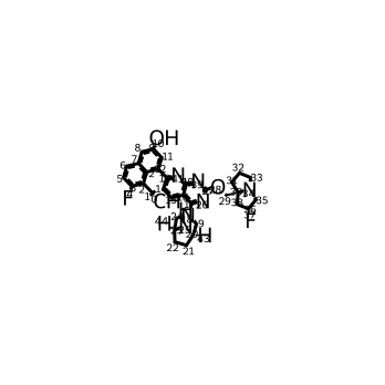 C#Cc1c(F)ccc2cc(O)cc(-c3ccc4c(N5C[C@H]6CC[C@@H](C5)N6)nc(OC[C@@]56CCCN5C[C@H](F)C6)nc4n3)c12